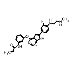 C=CC(=O)Nc1cccc(Oc2ncnc3[nH]c(-c4ccc(NCCNC)c(F)c4)cc23)c1